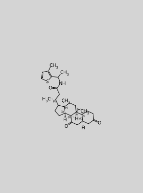 Cc1ccsc1C(C)NC(=O)C[C@@H](C)C1CC[C@H]2[C@@H]3C(=O)C[C@@H]4CC(=O)CC[C@]4(C)[C@H]3CC[C@]12C